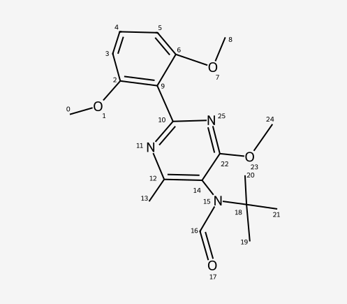 COc1cccc(OC)c1-c1nc(C)c(N(C=O)C(C)(C)C)c(OC)n1